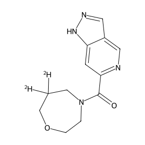 [2H]C1([2H])COCCN(C(=O)c2cc3[nH]ncc3cn2)C1